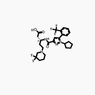 O=C(O)C[C@@H](CCN1CCCC(F)(F)C1)NC(=O)c1cc(-c2ccccc2C(F)(F)F)n(C2CCCC2)n1